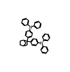 c1ccc(N(c2ccccc2)c2ccc(C3(c4ccc(N(c5ccccc5)c5ccccc5)cc4)CC4CCC3C4)cc2)cc1